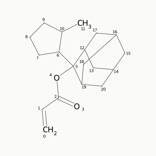 C=CC(=O)OC1(C2CCCC2C)C2CC3CC(C2)CC1C3